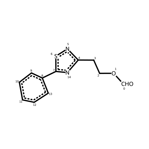 O=COCCc1nsc(-c2ccccc2)n1